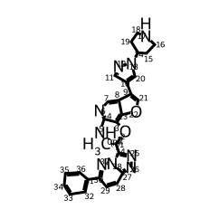 C[C@@H](Oc1c(N)ncc2c(-c3cnn(C4CCNCC4)c3)coc12)c1nnc2ccc(-c3ccccc3)nn12